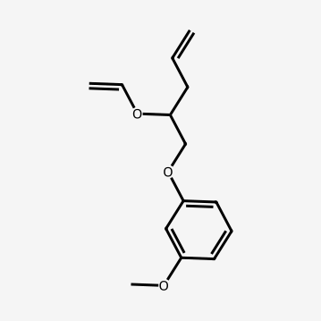 C=CCC(COc1cccc(OC)c1)OC=C